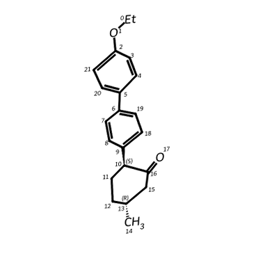 CCOc1ccc(-c2ccc([C@@H]3CC[C@@H](C)CC3=O)cc2)cc1